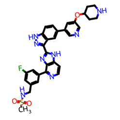 CS(=O)(=O)NCc1cc(F)cc(-c2nccc3[nH]c(-c4n[nH]c5ccc(-c6cncc(OC7CCNCC7)c6)cc45)nc23)c1